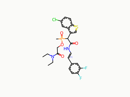 CCN(CC)C(=O)COP(C)(=O)C(C(=O)N/C=C/c1ccc(F)c(F)c1)c1csc2ccc(Cl)cc12